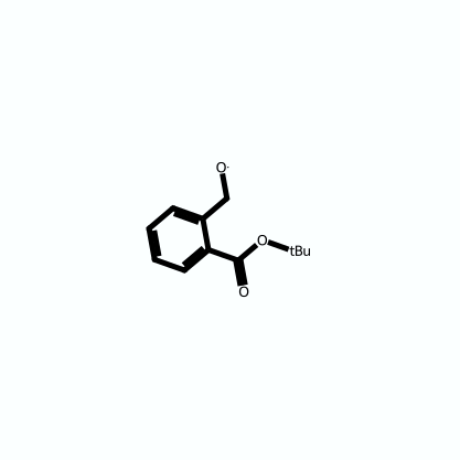 CC(C)(C)OC(=O)c1ccccc1C[O]